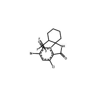 O=C1NC2(CCCCC2C(F)(F)F)n2c1c(Cl)cc(Br)c2=O